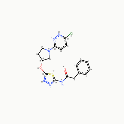 O=C(Cc1ccccc1)Nc1nnc(O[C@@H]2CCN(c3ccc(Cl)nn3)C2)s1